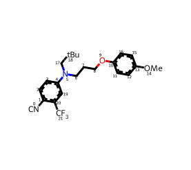 [C-]#[N+]c1ccc(N(CCCOc2ccc(OC)cc2)CC(C)(C)C)cc1C(F)(F)F